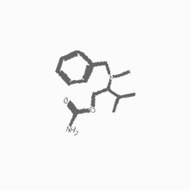 CC(C)C(COC(N)=O)N(C)Cc1ccccc1